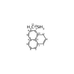 C1=Cc2cccc3cccc(c23)C1.C[SiH3]